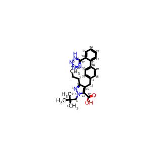 CCCc1nn(CC(C)(C)C)c(C(=O)O)c1Cc1ccc(-c2ccccc2-c2nnn[nH]2)cc1